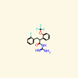 N=C(N)NC(=O)C(Cc1ccccc1F)c1ccccc1OC(F)(F)F